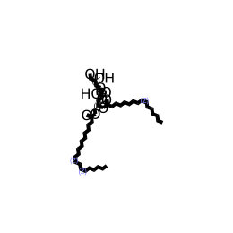 CCCCC/C=C\C/C=C\CCCCCCCCCC(=O)OC[C@H](COP(=O)(O)OC[C@@H](O)CO)OC(=O)CCCCCCC/C=C\CCCCCC